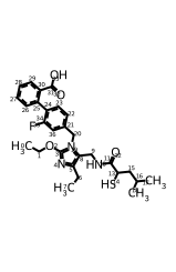 CCOc1nc(CC)c(CNC(=O)C(S)CC(C)C)n1Cc1ccc(-c2ccccc2C(=O)O)c(F)c1